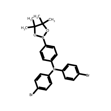 CC1(C)OB(c2ccc(N(c3ccc(Br)cc3)c3ccc(Br)cc3)cc2)OC1(C)C